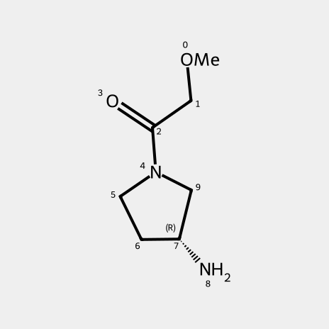 COCC(=O)N1CC[C@@H](N)C1